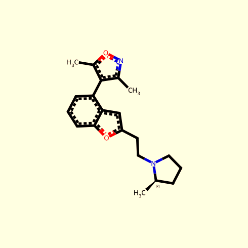 Cc1noc(C)c1-c1cccc2oc(CCN3CCC[C@H]3C)cc12